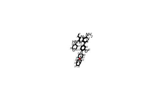 CCc1nc2c(N)ncc(-c3ccc(N4CCC(N5C6CCC5CN(C)C6)CC4)c(OC)c3)c2nc1NC1CCOCC1